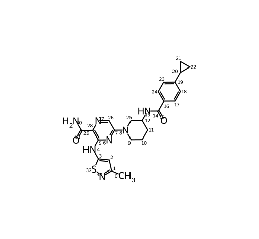 Cc1cc(Nc2nc(N3CCCC(NC(=O)c4ccc(C5CC5)cc4)C3)cnc2C(N)=O)sn1